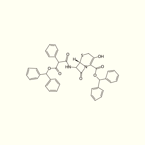 O=C(OC(c1ccccc1)c1ccccc1)C1=C(O)CS[C@H]2C(NC(=O)C(C(=O)OC(c3ccccc3)c3ccccc3)c3ccccc3)C(=O)N12